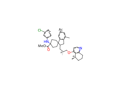 COC(=O)C1(Nc2cccc(Cl)c2)CCC2(CC1)c1cc(C(C)=O)cc(C)c1CC2C[C@@H](C)COc1ccnc2c1[C@H](C)CCC2